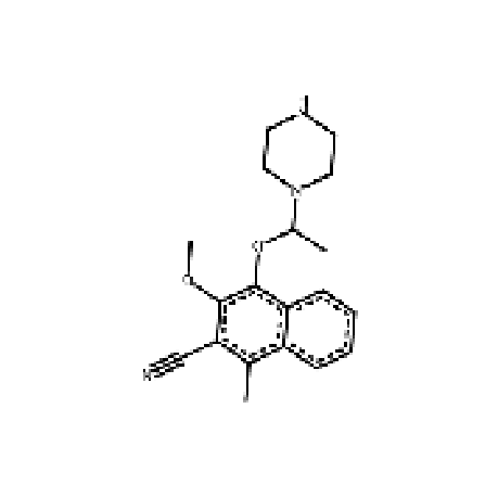 COc1c(C#N)c(C)c2ccccc2c1OC(C)N1CCNCC1